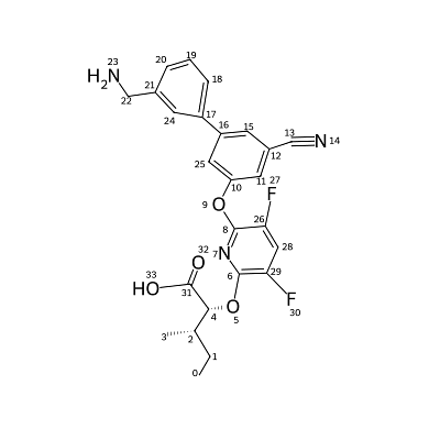 CC[C@H](C)[C@@H](Oc1nc(Oc2cc(C#N)cc(-c3cccc(CN)c3)c2)c(F)cc1F)C(=O)O